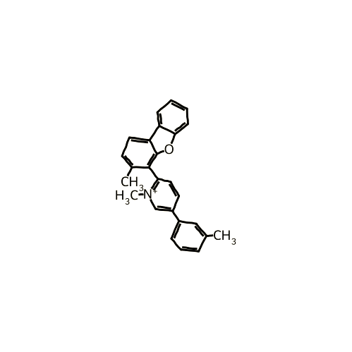 Cc1cccc(-c2ccc(-c3c(C)ccc4c3oc3ccccc34)[n+](C)c2)c1